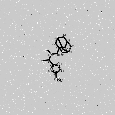 CC(c1nc(C(C)(C)C)no1)N(C)CC12CC3CC(CC(C3)C1)C2